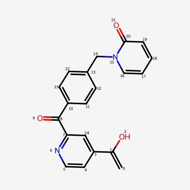 C=C(O)c1ccnc(C(=O)c2ccc(Cn3ccccc3=O)cc2)c1